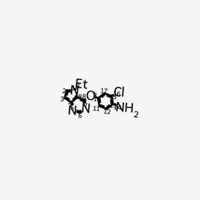 CCn1ccc2ncnc(Oc3ccc(N)c(Cl)c3)c21